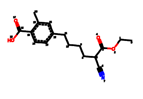 CCOC(=O)C(C#N)CCCCc1ccc(C(=O)O)c(C)c1